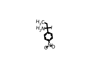 CCC(N)(I)c1ccc([N+](=O)[O-])cc1